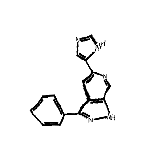 c1ccc(-c2n[nH]c3cnc(-c4cnc[nH]4)cc23)cc1